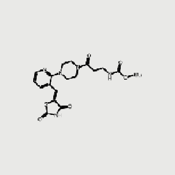 CC(C)(C)OC(=O)NCCC(=O)N1CCN(c2ncccc2/C=C2\SC(=O)NC2=O)CC1